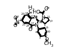 COc1ccc(-n2c([C@H]3CCCN3C(=O)O)nc3c(C)cc([N+](=O)[O-])cc3c2=O)cc1